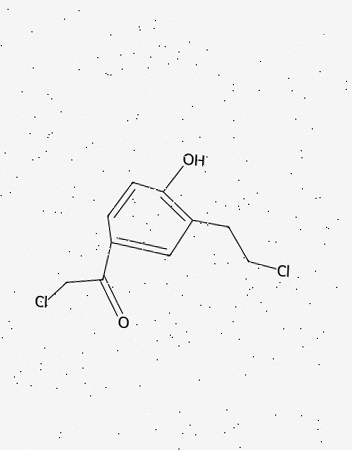 O=C(CCl)c1ccc(O)c(CCCl)c1